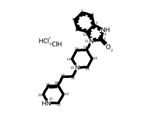 Cl.Cl.O=c1[nH]c2ccccc2n1C1CCN(CCC2=CCNCC2)CC1